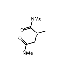 CNC(=O)CN(C)C(=O)NC